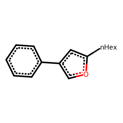 [CH2]CCCCCc1cc(-c2ccccc2)co1